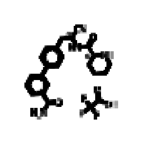 N#C[C@H](Cc1ccc(-c2cccc(C(N)=O)c2)cc1)NC(=O)[C@@H]1CCCCN1.O=C(O)C(F)(F)F